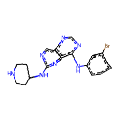 Brc1cccc(Nc2ncnc3cnc(NC4CCNCC4)nc23)c1